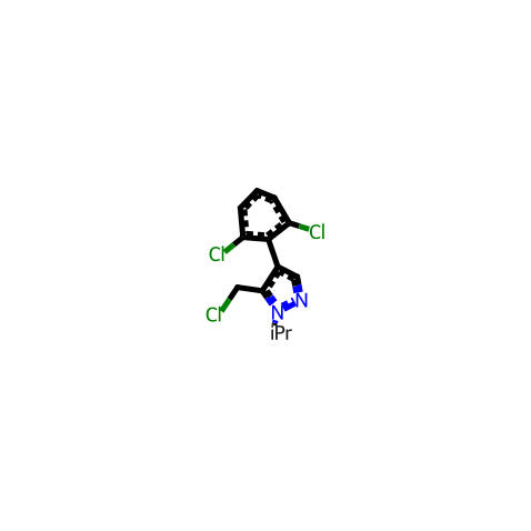 CC(C)n1ncc(-c2c(Cl)cccc2Cl)c1CCl